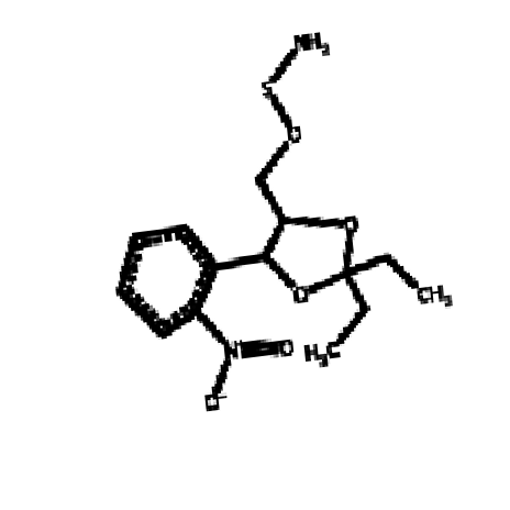 CCC1(CC)OC(COSN)C(c2ccccc2[N+](=O)[O-])O1